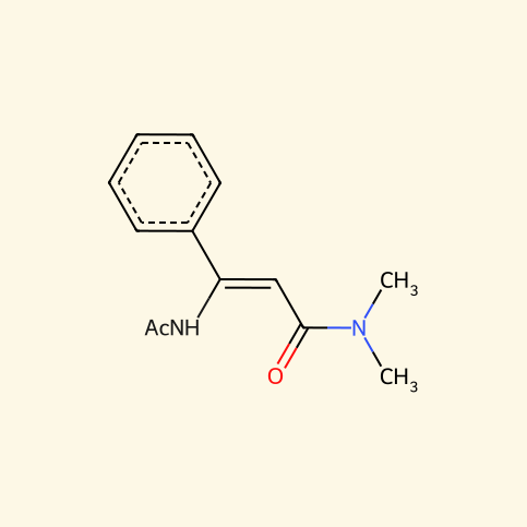 CC(=O)N/C(=C\C(=O)N(C)C)c1ccccc1